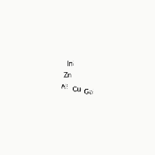 [Al].[Cu].[Ga].[In].[Zn]